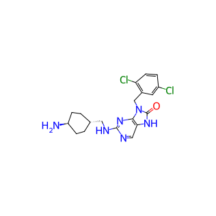 N[C@H]1CC[C@H](CNc2ncc3[nH]c(=O)n(Cc4cc(Cl)ccc4Cl)c3n2)CC1